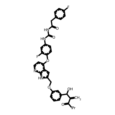 C=C(C(=O)C(C)C)C(O)c1cccc(OCc2cc3c(Oc4ccc(NC(=O)NC(=O)Cc5ccc(F)cc5)cc4F)ccnc3[nH]2)c1